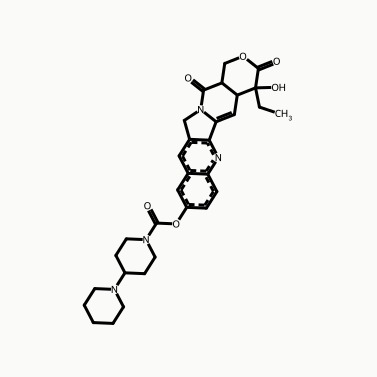 CCC1(O)C(=O)OCC2C(=O)N3Cc4cc5cc(OC(=O)N6CCC(N7CCCCC7)CC6)ccc5nc4C3=CC21